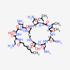 CCCCCCCC(=O)N[C@@H](CCN)C(=O)N[C@@H](CO)C(=O)N[C@@H](CCN)C(=O)N[C@H]1CCNC(=O)[C@H]([C@@H](C)O)NC(=O)[C@H](CCN)NC(=O)[C@H](CCN)NC(=O)[C@H]([C@@H](C)CC)NC(=O)[C@@H](CC(C)C)NC(=O)[C@H](CCN)NC1=O